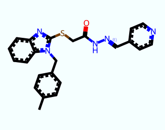 Cc1ccc(Cn2c(SCC(=O)N/N=C/c3ccncc3)nc3ccccc32)cc1